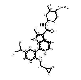 CC(=O)NC1CCC(NC(=O)c2c(C)[nH]c3c(-c4cc(C(F)F)ccc4OCC4CC4)ncnc23)CC1C